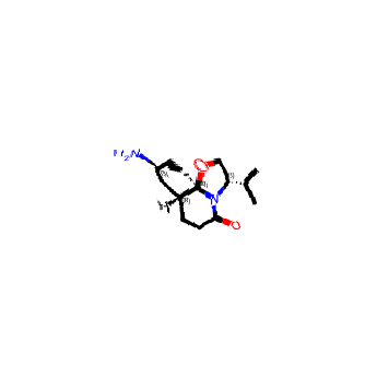 CC(C)[C@H]1CO[C@]23CC[C@H](N)C[C@H]2CCC(=O)N13